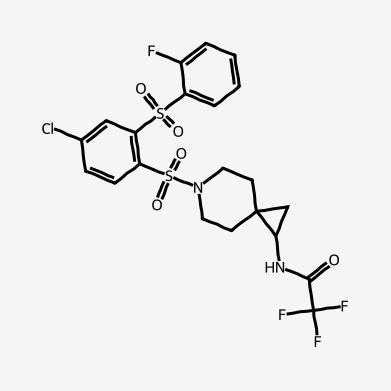 O=C(NC1CC12CCN(S(=O)(=O)c1ccc(Cl)cc1S(=O)(=O)c1ccccc1F)CC2)C(F)(F)F